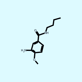 CCCCNC(=O)c1ccc(OC)c(N)c1